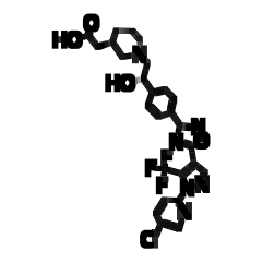 O=C(O)C[C@H]1CCCN(C[C@@H](O)c2ccc(-c3noc(-c4cnn(-c5ccc(Cl)cn5)c4C(F)(F)F)n3)cc2)C1